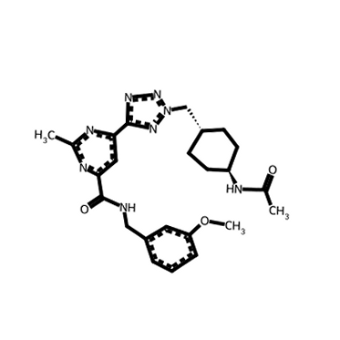 COc1cccc(CNC(=O)c2cc(-c3nnn(C[C@H]4CC[C@H](NC(C)=O)CC4)n3)nc(C)n2)c1